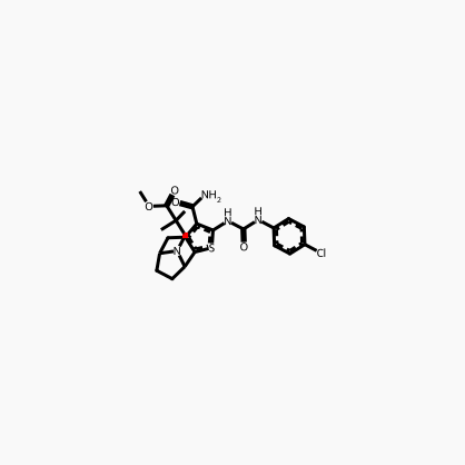 COC(=O)C(C)(C)CN1C2CCC1c1sc(NC(=O)Nc3ccc(Cl)cc3)c(C(N)=O)c1C2